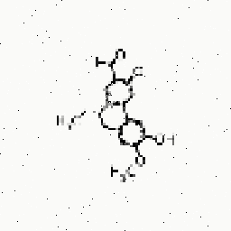 CC[C@H]1Cc2cc(OC)c(O)cc2-c2cc(=O)c(C(=O)I)cn21